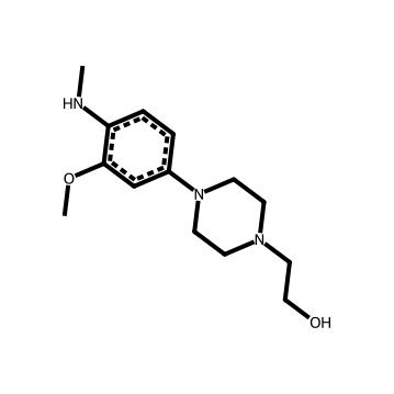 CNc1ccc(N2CCN(CCO)CC2)cc1OC